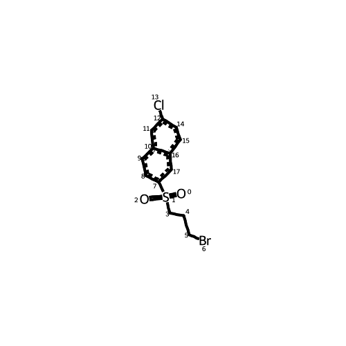 O=S(=O)(CCCBr)c1ccc2cc(Cl)ccc2c1